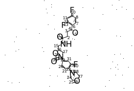 O=C(CCC(=O)c1ccc(F)cc1F)NCC1CN(c2ccc(N3CCOCC3)c(F)c2)C(=O)O1